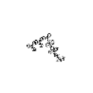 O=S([O-])[O-].O=S([O-])[O-].O=S([O-])[O-].O=S([O-])[O-].O=S([O-])[O-].[Ta+5].[Ta+5]